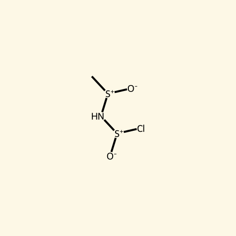 C[S+]([O-])N[S+]([O-])Cl